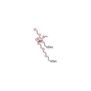 CC(C)[O-].CC(C)[O-].CCCCCCCCCCCCOCCOCC[O-].CCCCCCCCCCCCOCCOCC[O-].[Zr+4]